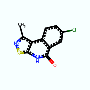 Cc1nsc2[nH]c(=O)c3cc(Cl)ccc3c12